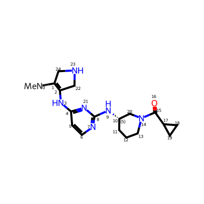 CNC1=C(Nc2ccnc(N[C@H]3CCCN(C(=O)C4CC4)C3)n2)CNC1